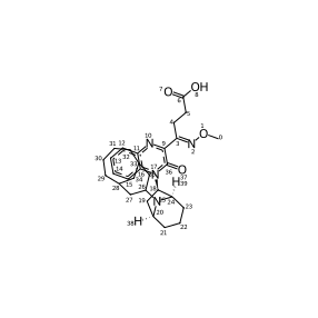 CO/N=C(\CCC(=O)O)c1nc2ccccc2n([C@@H]2C[C@@H]3CCC[C@H]2N3C2CC3CCCCC(C3)C2)c1=O